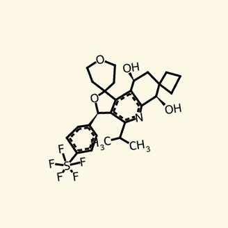 CC(C)c1nc2c(c3c1[C@@H](c1ccc(S(F)(F)(F)(F)F)cc1)OC31CCOCC1)[C@@H](O)CC1(CCC1)[C@H]2O